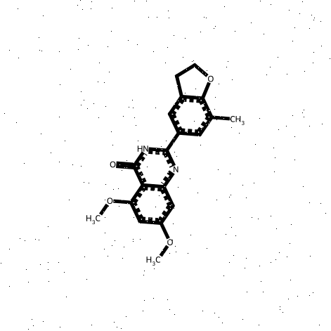 COc1cc(OC)c2c(=O)[nH]c(-c3cc(C)c4c(c3)CCO4)nc2c1